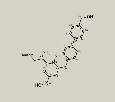 CNC/C(N)=C/N(N)C(CC(=O)NO)Cc1ccc(-c2ccc(CO)cc2)cc1